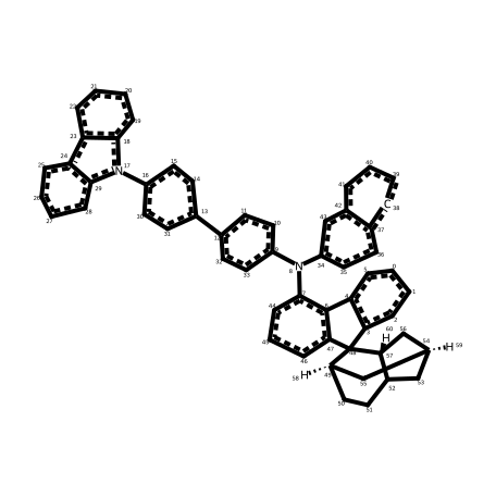 c1ccc2c(c1)-c1c(N(c3ccc(-c4ccc(-n5c6ccccc6c6ccccc65)cc4)cc3)c3ccc4ccccc4c3)cccc1C21[C@@H]2CCC3C[C@@H](C2)C[C@H]31